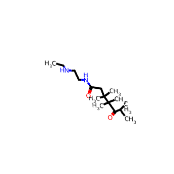 CCNCCNC(=O)CC(C)(C)C(C)(C)C(=O)C(C)C